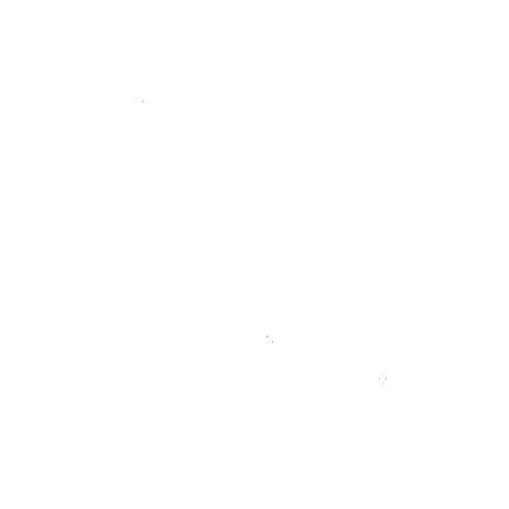 CC/C(=C\C=C(/C)NCc1ccccc1OC)c1cc(F)c(CN(C)C)c(F)c1